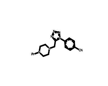 CC(C)N1CCN(Cc2nnnn2-c2ccc(C#N)cc2)CC1